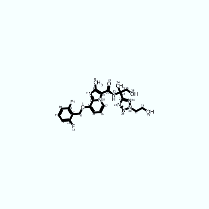 Cc1nc2c(OCc3c(F)cccc3F)cccn2c1C(=O)NC(C)(CO)c1nnn(CCO)n1